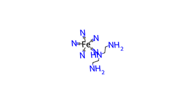 N#[C][Fe]([C]#N)([C]#N)([C]#N)[C]#N.NCCNCCN